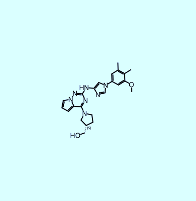 COc1cc(-n2cnc(Nc3nc(N4CC[C@H](CO)C4)c4cccn4n3)c2)cc(C)c1C